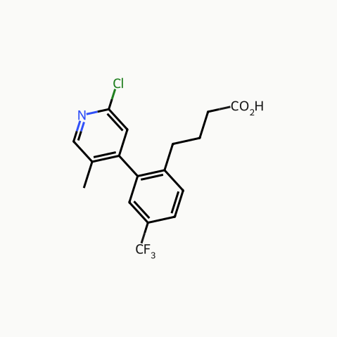 Cc1cnc(Cl)cc1-c1cc(C(F)(F)F)ccc1CCCC(=O)O